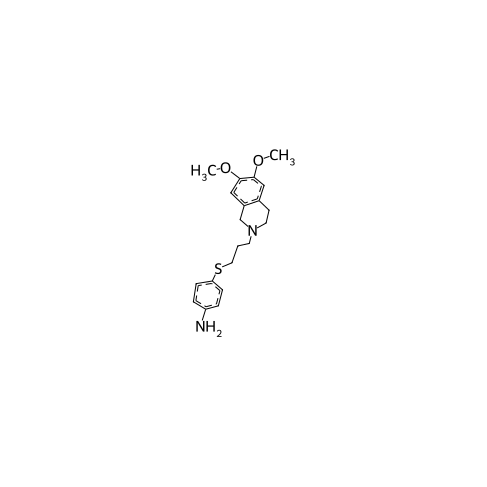 COc1cc2c(cc1OC)CN(CCCSc1ccc(N)cc1)CC2